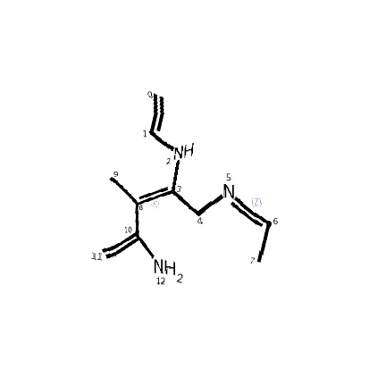 C=CN/C(C/N=C\C)=C(\C)C(=C)N